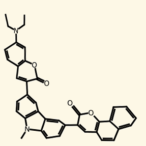 CCN(CC)c1ccc2cc(-c3ccc4c(c3)c3cc(-c5cc6ccc7ccccc7c6oc5=O)ccc3n4C)c(=O)oc2c1